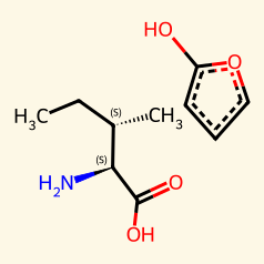 CC[C@H](C)[C@H](N)C(=O)O.Oc1ccco1